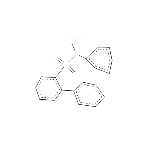 O=C(O)N(c1ccccc1)S(=O)(=O)c1ccccc1-c1ccccc1